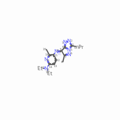 CCCc1nnc2n1N=C(C)/C2=N\c1ccc(N(CC)CC)nc1C